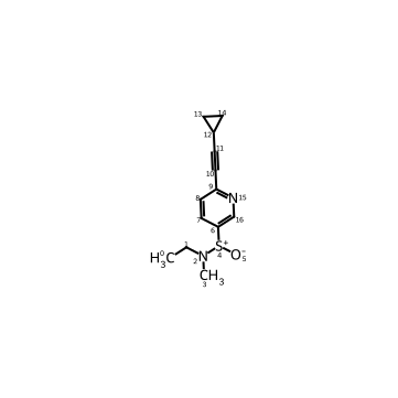 CCN(C)[S+]([O-])c1ccc(C#CC2CC2)nc1